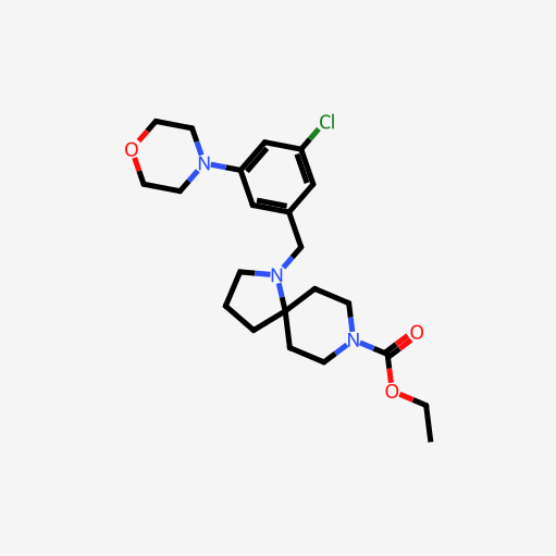 CCOC(=O)N1CCC2(CCCN2Cc2cc(Cl)cc(N3CCOCC3)c2)CC1